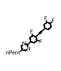 CCCCCc1cnc(-c2cc(F)c(C#Cc3ccc(F)c(F)c3)c(F)c2)nc1